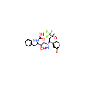 CC1(C(F)(F)F)C[C@H](NC[C@@H](O)C(Cc2ccccc2)NC(=O)O)c2cc(Br)ccc2O1